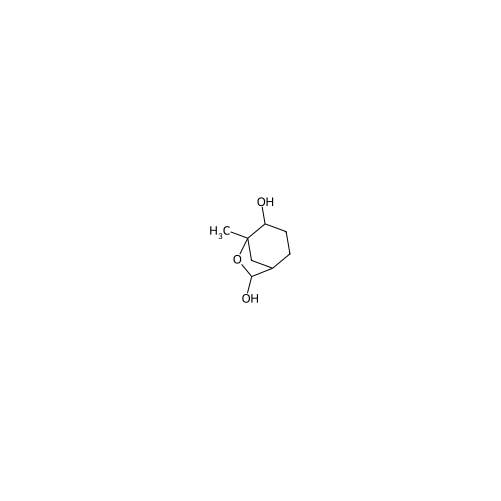 CC12CC(CCC1O)C(O)O2